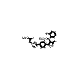 CCOC(=O)N(c1ccccc1F)c1c(C)noc1-c1ccc(-c2nnn(CC(=O)OC)n2)cc1